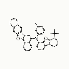 Cc1cccc(N(c2cc3c4cc5ccccc5cc4oc3c3ccccc23)c2cccc3c2oc2c(C(C)(C)C)cccc23)c1